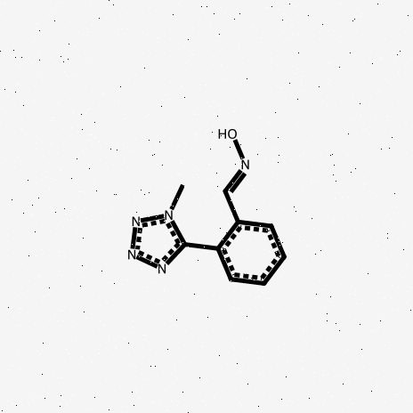 Cn1nnnc1-c1ccccc1C=NO